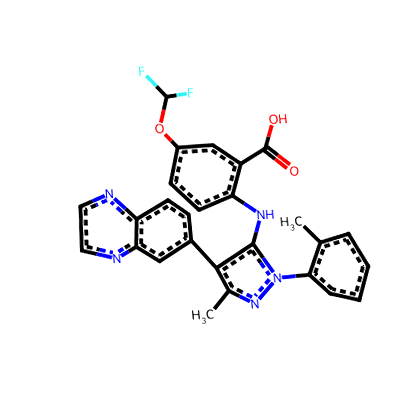 Cc1ccccc1-n1nc(C)c(-c2ccc3nccnc3c2)c1Nc1ccc(OC(F)F)cc1C(=O)O